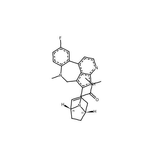 CN(C)C(=O)CN1[C@H]2CC[C@@H]1C=C(c1[nH]c3nccc4c3c1CN(C)c1ccc(F)cc1-4)C2